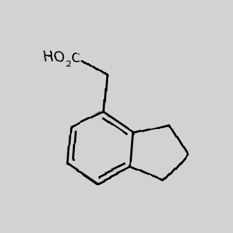 O=C(O)Cc1cccc2c1CCC2